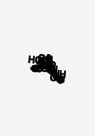 CC(C)(C)[Si](C)(C)OCC1OC(n2ccc(NC(=O)c3ccccc3)nc2=O)C(O[Si](C)(C)C(C)(C)C)C1OS(=O)(=O)O